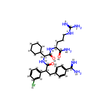 N=C(N)NCCC[C@H](NC(=O)[C@@H](NC(=O)C(Cc1ccc(C(=N)N)cc1)c1cccc(Br)c1)C1CCCCC1)C(N)=O